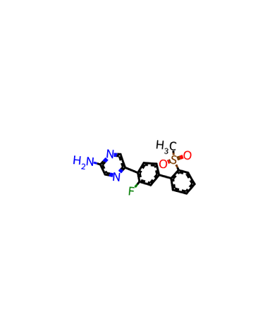 CS(=O)(=O)c1ccccc1-c1ccc(-c2cnc(N)cn2)c(F)c1